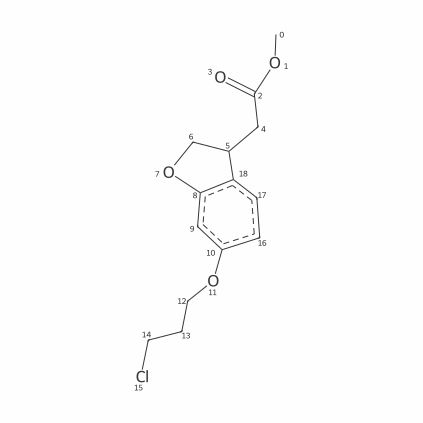 COC(=O)CC1COc2cc(OCCCCl)ccc21